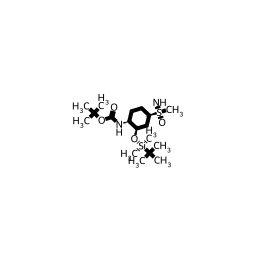 CC(C)(C)OC(=O)N[C@@H]1CC[C@@H](S(C)(=N)=O)C[C@H]1O[Si](C)(C)C(C)(C)C